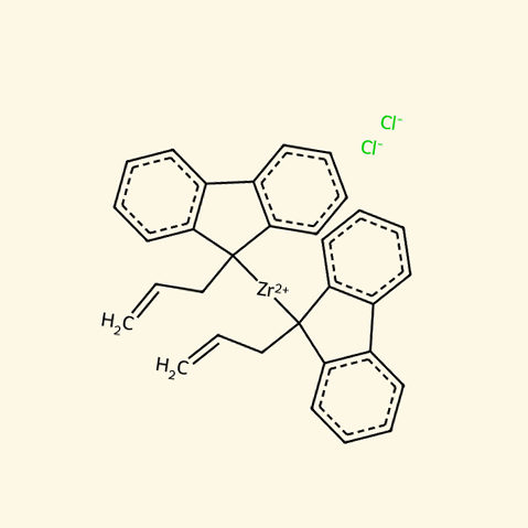 C=CC[C]1([Zr+2][C]2(CC=C)c3ccccc3-c3ccccc32)c2ccccc2-c2ccccc21.[Cl-].[Cl-]